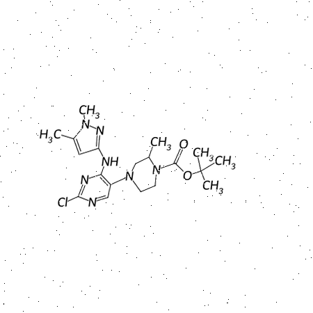 Cc1cc(Nc2nc(Cl)ncc2N2CCN(C(=O)OC(C)(C)C)C(C)C2)nn1C